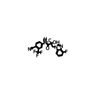 CC(O)(Cn1cnc2c(F)cccc21)C(=O)Nc1ccc(C#N)c(C(F)(F)F)c1